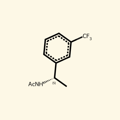 CC(=O)N[C@@H](C)c1cccc(C(F)(F)F)c1